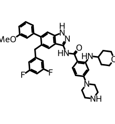 COc1cccc(-c2cc3[nH]nc(NC(=O)c4ccc(N5CCNCC5)cc4NC4CCOCC4)c3cc2Cc2cc(F)cc(F)c2)c1